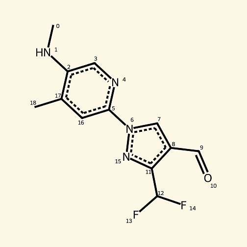 CNc1cnc(-n2cc(C=O)c(C(F)F)n2)cc1C